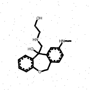 CNc1ccc2c(c1)C(O)(CNCCO)c1ccccc1OC2